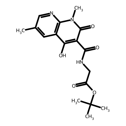 Cc1cnc2c(c1)c(O)c(C(=O)NCC(=O)OC(C)(C)C)c(=O)n2C